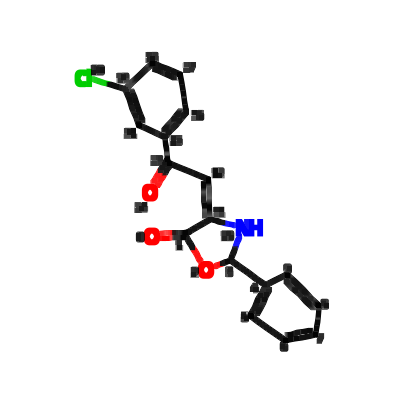 O=C1OC(c2ccccc2)N/C1=C/C(=O)c1cccc(Cl)c1